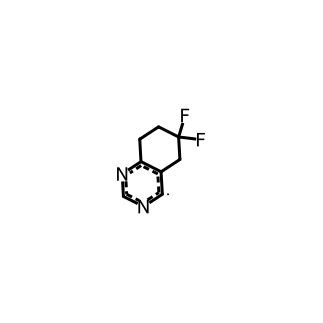 FC1(F)CCc2ncn[c]c2C1